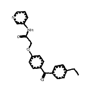 CCc1ccc(C(=O)c2ccc(OCC(=O)Nc3cccnc3)cc2)cc1